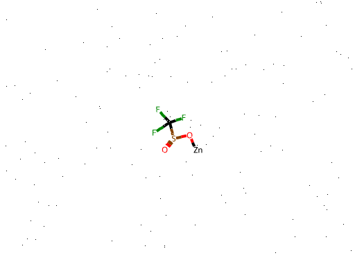 O=S([O][Zn])C(F)(F)F